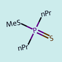 CCCP(=S)(CCC)SC